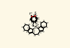 Fc1ccc([O][Zr]2([O]c3ccc(F)cc3)[CH]3C(=CC4=C3CCCC4)CCC3=CC4=C(CCCC4)[CH]32)cc1